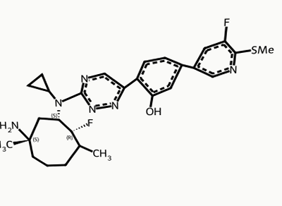 CSc1ncc(-c2ccc(-c3cnc(N(C4CC4)[C@H]4C[C@@](C)(N)CCCC(C)[C@H]4F)nn3)c(O)c2)cc1F